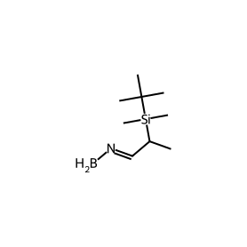 BN=CC(C)[Si](C)(C)C(C)(C)C